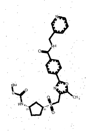 Cc1oc(-c2ccc(C(=O)NCc3cccnc3)cc2)nc1CS(=O)(=O)[C@@H]1CC[C@H](NC(=O)OC(C)(C)C)C1